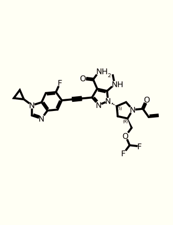 C=CC(=O)N1C[C@@H](n2nc(C#Cc3cc4ncn(C5CC5)c4cc3F)c(C(N)=O)c2NC)C[C@@H]1COC(F)F